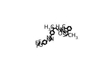 CCc1ccccc1-n1c(C)cs/c1=N\C(=O)NCCC(C)c1ccc(-c2ncn(-c3ccc(OC(F)(F)F)cc3)n2)cc1